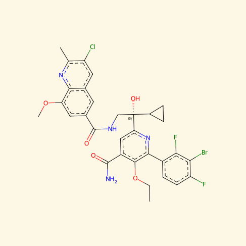 CCOc1c(C(N)=O)cc([C@@](O)(CNC(=O)c2cc(OC)c3nc(C)c(Cl)cc3c2)C2CC2)nc1-c1ccc(F)c(Br)c1F